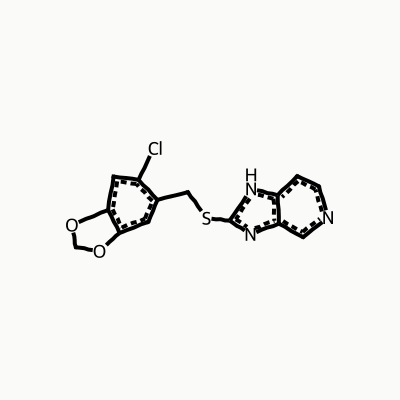 Clc1cc2c(cc1CSc1nc3cnccc3[nH]1)OCO2